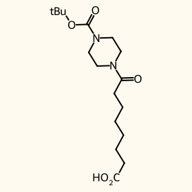 CC(C)(C)OC(=O)N1CCN(C(=O)CCCCCCC(=O)O)CC1